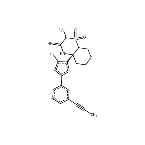 CC#Cc1cncc(-c2cc(Cl)c([C@]34CCOCC3S(=O)(=O)N(C)C(=N)N4)s2)c1